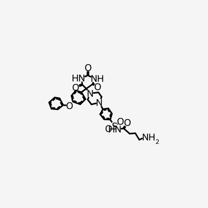 NCCCC(=O)NS(=O)(=O)c1ccc(N2CCN(C3(c4ccc(Oc5ccccc5)cc4)C(=O)NC(=O)NC3=O)CC2)cc1